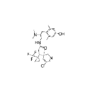 Cc1cc(O)cc(C)c1C[C@@H](CNC(=O)C[C@@H](C1(C)C=C(Cl)C=NC1)C1(C(F)(F)F)CC1)N(C)C